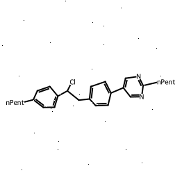 CCCCCc1ccc(C(Cl)Cc2ccc(-c3cnc(CCCCC)nc3)cc2)cc1